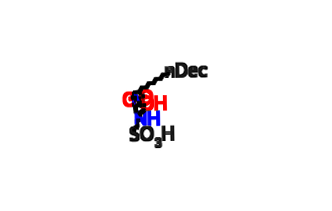 CCCCCCCCCCCCCCCCCCC1CC(=O)N(c2ccc(NCCCS(=O)(=O)O)cc2O)C1=O